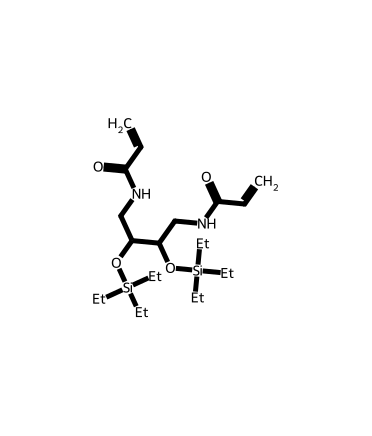 C=CC(=O)NCC(O[Si](CC)(CC)CC)C(CNC(=O)C=C)O[Si](CC)(CC)CC